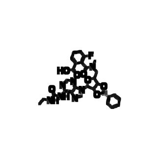 CCNC(=O)Nc1ncnc2c1ncn2C1OC(CN(C)C(=O)c2c(F)cccc2C(=O)O)C2O[C@H](c3ccccc3)OC21